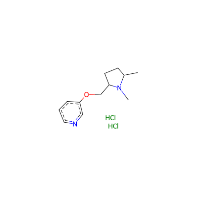 CC1CCC(COc2cccnc2)N1C.Cl.Cl